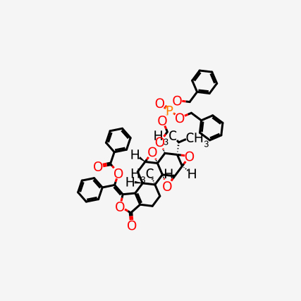 CC(C)[C@]12O[C@H]1[C@@H]1O[C@]13[C@]1(O[C@H]1C[C@H]1C4=C(CC[C@@]13C)C(=O)O/C4=C(/OC(=O)c1ccccc1)c1ccccc1)[C@@H]2OCOP(=O)(OCc1ccccc1)OCc1ccccc1